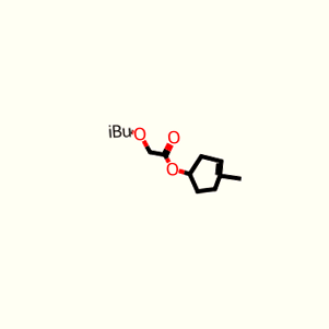 CCC(C)OCC(=O)OC1CC=C(C)CC1